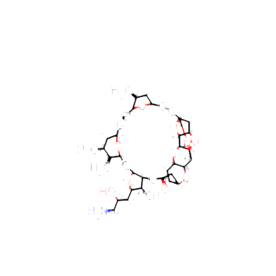 C=C1CC2CCC34CC5OC6C(OC7CCC(CC(=O)CC8C(CC9OC(CCC1O2)CC(C)C9=C)OC(CC(O)CN)C8C)OC7C6O3)C5O4